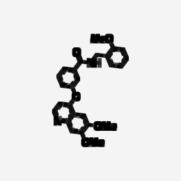 COc1ccccc1CNC(=O)c1cccc(Oc2ccnc3cc(OC)c(OC)cc23)c1